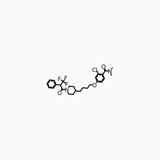 CN(C)C(=O)c1ccc(OCCCCC2CCN(C(=O)C(c3ccccc3)C(F)(F)F)CC2)cc1Cl